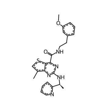 COc1cccc(CCNC(=O)c2nc(N[C@@H](C)c3ccccn3)nc3c(C)csc23)c1